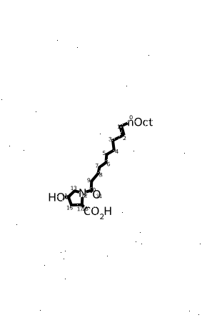 CCCCCCCC/C=C/CCCCCCCC(=O)N1CC(O)CC1C(=O)O